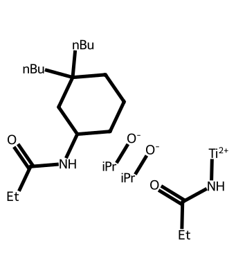 CC(C)[O-].CC(C)[O-].CCC(=O)[NH][Ti+2].CCCCC1(CCCC)CCCC(NC(=O)CC)C1